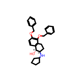 O[C@@H]1c2ccc(OCc3ccccc3)c(OCc3ccccc3)c2CC[C@H]1NC1CCCC1